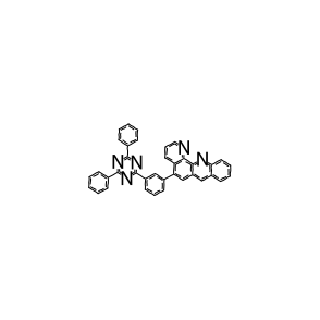 c1ccc(-c2nc(-c3ccccc3)nc(-c3cccc(-c4cc5cc6ccccc6nc5c5ncccc45)c3)n2)cc1